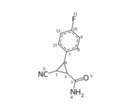 N#CC1C(C(N)=O)C1c1ccc(F)cc1